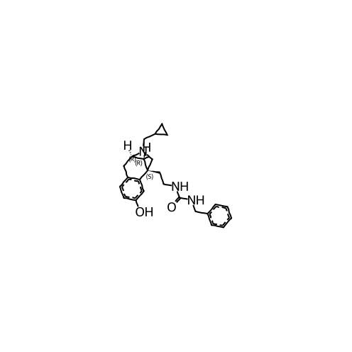 C[C@H]1[C@H]2Cc3ccc(O)cc3[C@@]1(CCNC(=O)NCc1ccccc1)CN2CC1CC1